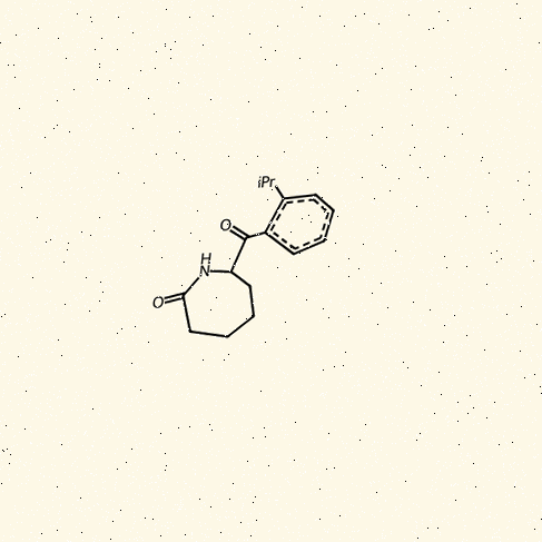 CC(C)c1ccccc1C(=O)C1CCCCC(=O)N1